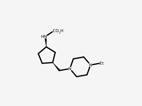 CCN1CCN(C[C@H]2CC[C@@H](NC(=O)O)C2)CC1